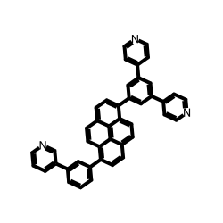 c1cncc(-c2cccc(-c3ccc4ccc5c(-c6cc(-c7ccncc7)cc(-c7ccncc7)c6)ccc6ccc3c4c65)c2)c1